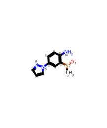 C[S+]([O-])c1cc(-n2cccn2)ccc1N